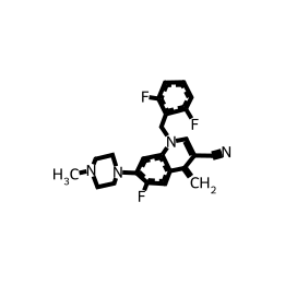 C=C1C(C#N)=CN(Cc2c(F)cccc2F)c2cc(N3CCN(C)CC3)c(F)cc21